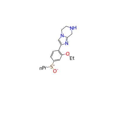 CCC[S+]([O-])c1ccc(-c2cn3c(n2)CNCC3)c(OCC)c1